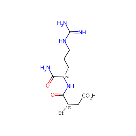 CC[C@@H](CC(=O)O)C(=O)N[C@@H](CCCNC(=N)N)C(N)=O